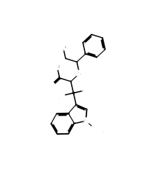 Cn1cc(C(C)(C)C(NC(CO)c2ccccc2)C(N)=O)c2ccccc21